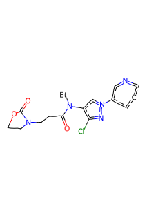 CCN(C(=O)CCN1CCOC1=O)c1cn(-c2cccnc2)nc1Cl